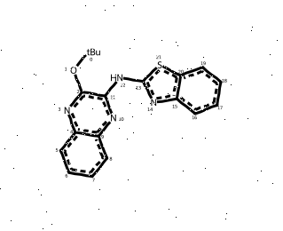 CC(C)(C)Oc1nc2ccccc2nc1Nc1nc2ccccc2s1